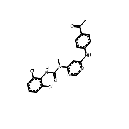 CC(=O)c1ccc(Nc2cc(N(C)C(=O)Nc3c(Cl)cccc3Cl)ncn2)cc1